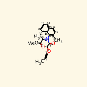 CC#COCC(=O)N(c1c(C)ccc2ccccc12)C(C)C(=O)OC